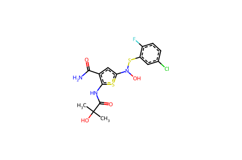 CC(C)(O)C(=O)Nc1sc(N(O)Sc2cc(Cl)ccc2F)cc1C(N)=O